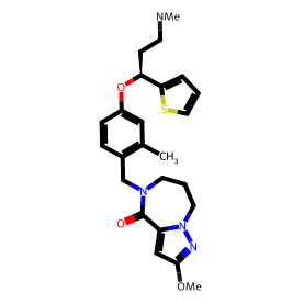 CNCC[C@H](Oc1ccc(CN2CCCn3nc(OC)cc3C2=O)c(C)c1)c1cccs1